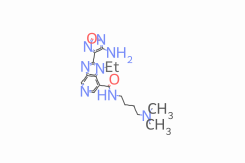 CCn1c(-c2nonc2N)nc2cncc(C(=O)NCCCCN(C)C)c21